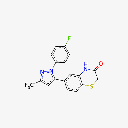 O=C1CSc2ccc(-c3cc(C(F)(F)F)nn3-c3ccc(F)cc3)cc2N1